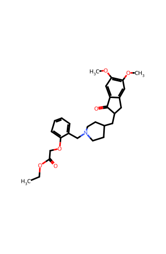 CCOC(=O)COc1ccccc1CN1CCC(CC2Cc3cc(OC)c(OC)cc3C2=O)CC1